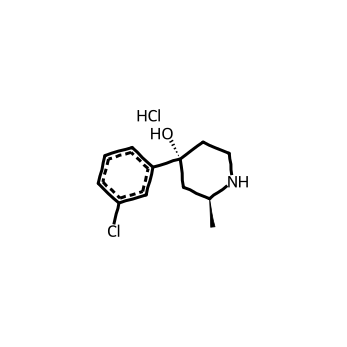 C[C@H]1C[C@@](O)(c2cccc(Cl)c2)CCN1.Cl